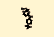 CNC1(C)N=C(NC2CCN(S(C)(=O)=O)CC2)C=CN1